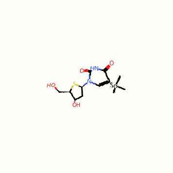 [CH3][Sn]([CH3])([CH3])[c]1cn([C@H]2C[C@H](O)[C@@H](CO)S2)c(=O)[nH]c1=O